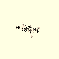 CC(C)(C)C(NC(=O)c1ccc(N2CC(F)(F)C2)c(OCC2CC2)n1)C(=O)O